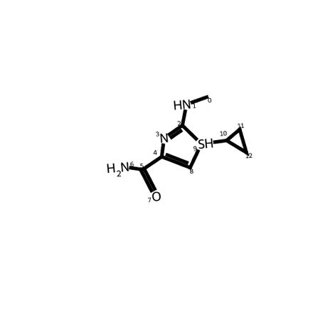 CNC1=NC(C(N)=O)=C[SH]1C1CC1